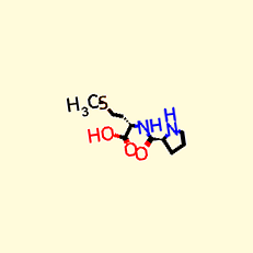 CSCC[C@H](NC(=O)[C@@H]1CCCN1)C(=O)O